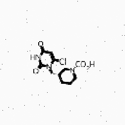 O=C(O)N1CCC[C@H](Cn2c(Cl)cc(=O)[nH]c2=O)C1